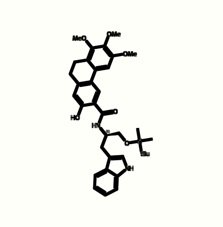 COc1cc2c(c(OC)c1OC)CCc1cc(O)c(C(=O)N[C@@H](CO[Si](C)(C)C(C)(C)C)Cc3c[nH]c4ccccc34)cc1-2